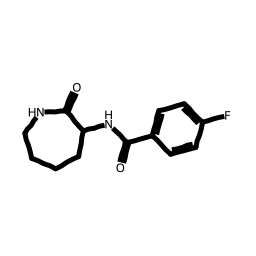 O=C(NC1CCCCNC1=O)c1ccc(F)cc1